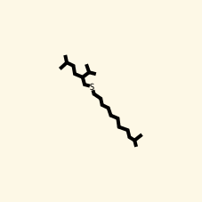 CC(C)CCCCCCCCCSCC(CCC(C)C)C(C)C